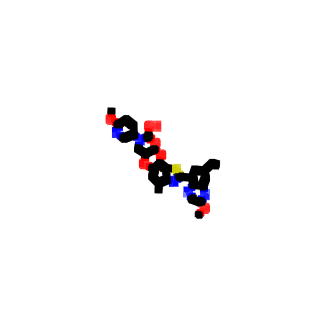 C=Cc1cc(-c2nc3c(C)cc4c(c3s2)OCC(CN(C(=O)O)c2ccc(OC)nc2)O4)c2ncc(OC)nc2c1